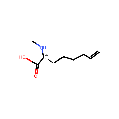 C=CCCCC[C@@H](NC)C(=O)O